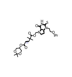 CC(C)OCCn1c(=S)[nH]c(=O)c2c1ccn2COC(=O)C(C)(C)/C=C/C(=O)OC1COC(C)(C)OC1